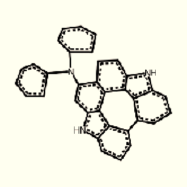 c1ccc(N(c2ccccc2)c2cc3[nH]c4cccc5c4c3c3c2ccc2[nH]c4cccc-5c4c23)cc1